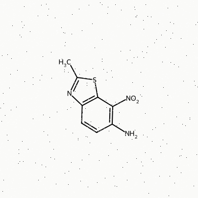 Cc1nc2ccc(N)c([N+](=O)[O-])c2s1